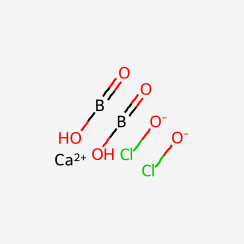 O=BO.O=BO.[Ca+2].[O-]Cl.[O-]Cl